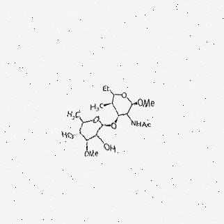 CCC1O[C@@H](OC)C(NC(C)=O)[C@@H](O[C@@H]2OC(C)[C@@H](O)[C@H](OC)C2O)[C@H]1C